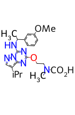 COc1cccc(C(C)Nc2nc(OCCN(C)C(=O)O)nc3c(C(C)C)cnn23)c1